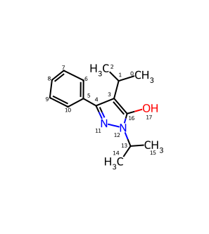 CC(C)c1c(-c2ccccc2)nn(C(C)C)c1O